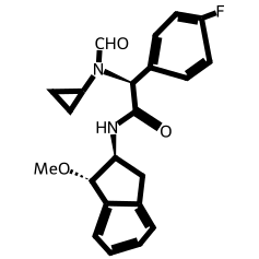 CO[C@H]1c2ccccc2C[C@@H]1NC(=O)[C@H](c1ccc(F)cc1)N(C=O)C1CC1